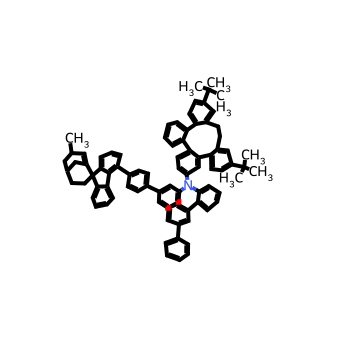 CC1C=C2CC(CCC23c2ccccc2-c2c(-c4ccc(-c5cccc(N(c6ccc7c(c6)-c6ccc(C(C)(C)C)cc6CCc6cc(C(C)(C)C)ccc6-c6ccccc6-7)c6ccccc6-c6cccc(-c7ccccc7)c6)c5)cc4)cccc23)C1